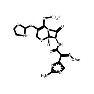 CON=C(C(=O)N[C@@H]1C(=O)N2C(OC(=O)O)=C(SC3NCCS3)CS[C@@H]12)c1csc(N)n1